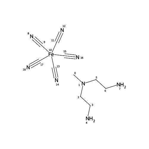 CN(CCN)CCN.N#[C][Fe]([C]#N)([C]#N)([C]#N)[C]#N